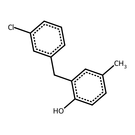 Cc1ccc(O)c(Cc2cccc(Cl)c2)c1